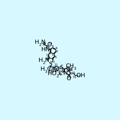 CC(SCc1cc2cccc(NC(=O)CN)c2cc1N)C1C[C@H](SC2=C(C(=O)O)N3C(=O)[C@@H](CCO)[C@@H]3[C@H]2C)CN1